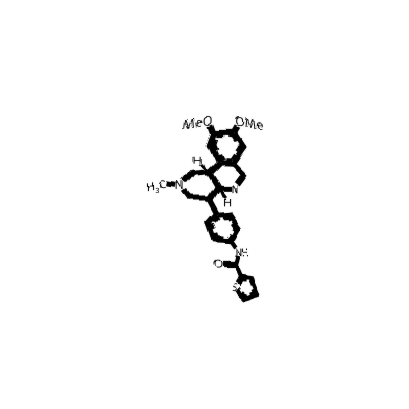 COc1cc2c(cc1OC)[C@H]1CN(C)CC(c3ccc(NC(=O)c4cccs4)cc3)[C@H]1N=C2